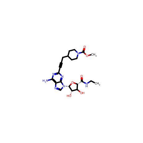 CCNC(=O)[C@H]1O[C@@H](n2cnc3c(N)nc(C#CCC4CCN(C(=O)OC)CC4)nc32)[C@@H](O)C1O